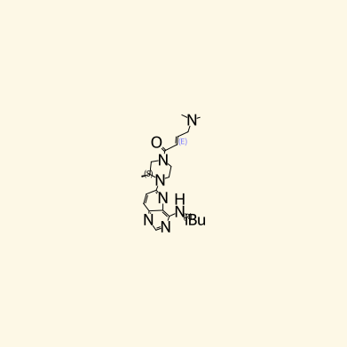 CC[C@@H](C)Nc1ncnc2ccc(N3CCN(C(=O)/C=C/CN(C)C)C[C@@H]3C)nc12